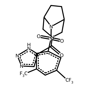 O=C(c1cnn[nH]1)N1CC2CCC(C1)N2S(=O)(=O)c1cc(C(F)(F)F)cc(C(F)(F)F)c1